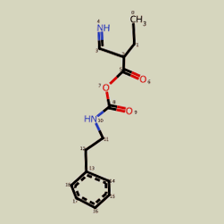 CCC(C=N)C(=O)OC(=O)NCCc1ccccc1